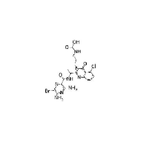 CC(NC(=O)c1nc(Br)c(N)nc1N)c1nc2cccc(Cl)c2c(=O)n1CCCNC(=O)O